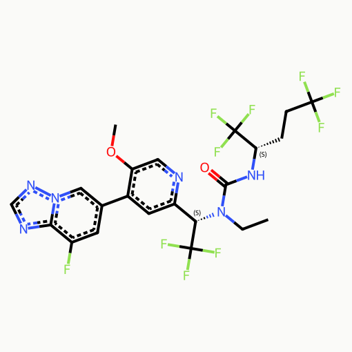 CCN(C(=O)N[C@@H](CCC(F)(F)F)C(F)(F)F)[C@@H](c1cc(-c2cc(F)c3ncnn3c2)c(OC)cn1)C(F)(F)F